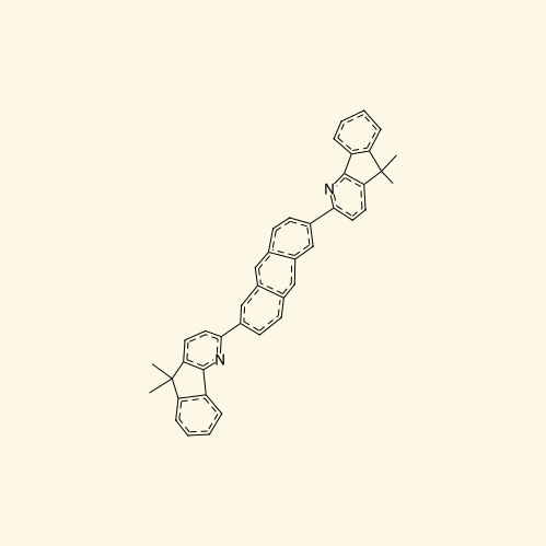 CC1(C)c2ccccc2-c2nc(-c3ccc4cc5cc(-c6ccc7c(n6)-c6ccccc6C7(C)C)ccc5cc4c3)ccc21